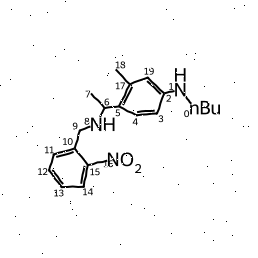 CCCCNc1ccc(C(C)NCc2ccccc2[N+](=O)[O-])c(C)c1